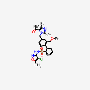 CCCc1nc(CC)c(C(=O)NC)n1Cc1ccc(-c2ccccc2S(=O)(=O)Nc2noc(C)c2Cl)c(COCC)c1